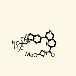 COC1CN(C(=O)c2ccc3cncc(-c4ccc5c(cnn5CC(C)(C)O)c4)c3n2)C1